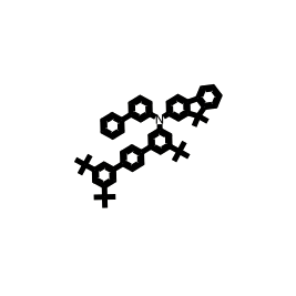 CC(C)(C)c1cc(-c2ccc(-c3cc(C(C)(C)C)cc(C(C)(C)C)c3)cc2)cc(N(c2cccc(-c3ccccc3)c2)c2ccc3c(c2)C(C)(C)c2ccccc2-3)c1